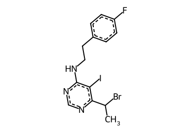 CC(Br)c1ncnc(NCCc2ccc(F)cc2)c1I